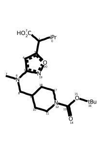 CC(C)C(C(=O)O)c1cc(N(C)CC2CCN(C(=O)OC(C)(C)C)CC2)no1